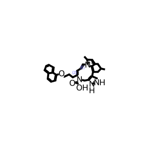 CC1CC2=CC(C)[N+]3(C)/C=C/C=C(/CCCOc4cccc5ccccc45)N(C(=O)O)CC4=C(CNN4)C(=C23)C1